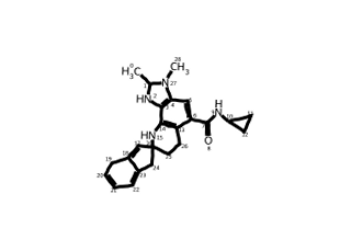 CC1Nc2c(cc(C(=O)NC3CC3)c3c2NC2(C=C4CC=CC=C4C2)CC3)N1C